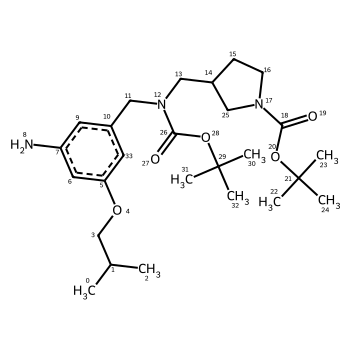 CC(C)COc1cc(N)cc(CN(CC2CCN(C(=O)OC(C)(C)C)C2)C(=O)OC(C)(C)C)c1